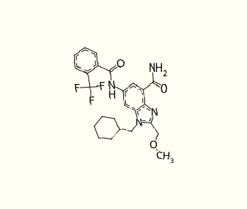 COCc1nc2c(C(N)=O)cc(NC(=O)c3ccccc3C(F)(F)F)cc2n1CC1CCCCC1